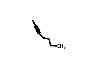 CCCCC#CI